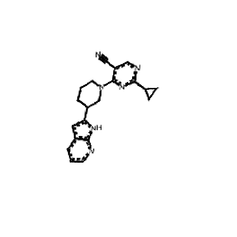 N#Cc1cnc(C2CC2)nc1N1CCCC(c2cc3cccnc3[nH]2)C1